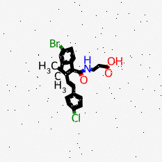 CC1(C)C(/C=C/c2ccc(Cl)cc2)=C(C(=O)NCCC(=O)O)c2ccc(Br)cc21